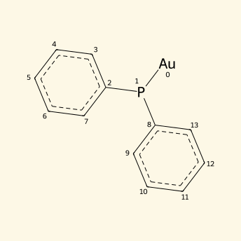 [Au][P](c1ccccc1)c1ccccc1